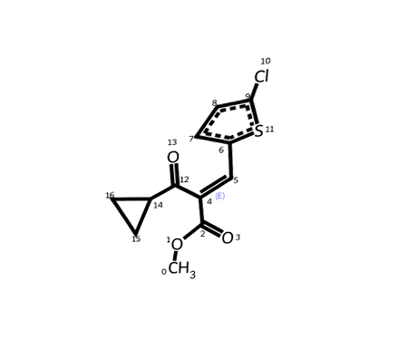 COC(=O)/C(=C/c1ccc(Cl)s1)C(=O)C1CC1